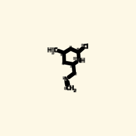 C=NCC1CC(C)CC(Cl)N1